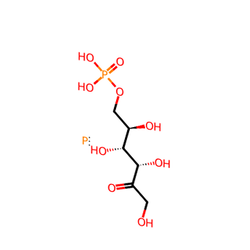 O=C(CO)[C@@H](O)[C@H](O)[C@H](O)COP(=O)(O)O.[P]